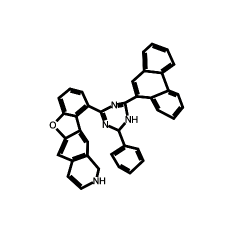 C1=Cc2cc3oc4cccc(C5=NC(c6ccccc6)NC(c6cc7ccccc7c7ccccc67)=N5)c4c3cc2CN1